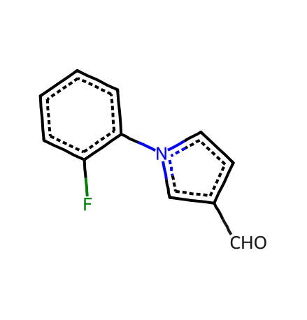 O=Cc1ccn(-c2ccccc2F)c1